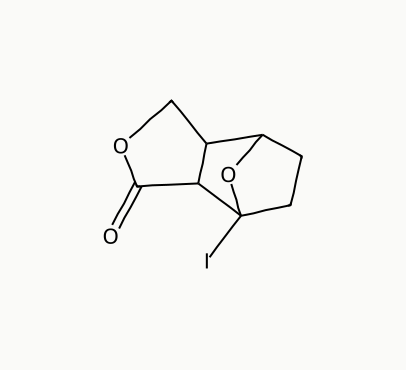 O=C1OCC2C3CCC(I)(O3)C12